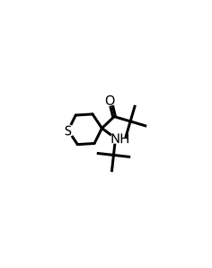 CC(C)(C)NC1(C(=O)C(C)(C)C)CCSCC1